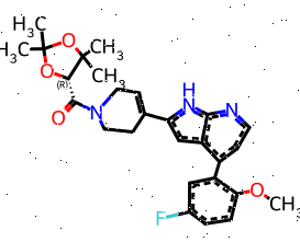 COc1ccc(F)cc1-c1ccnc2[nH]c(C3=CCN(C(=O)[C@@H]4OC(C)(C)OC4(C)C)CC3)cc12